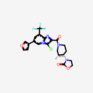 C[C@@H]1CN(C(=O)c2nc3c(C(F)(F)F)cc(-c4ccoc4)cn3c2Cl)CC[C@@H]1N1CCOC1=O